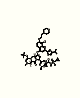 C=C[C@@H]1C[C@]1(NC(=O)[C@@H]1C[C@@H](Oc2cc(-c3nc(C(C)C)cs3)nc3c(Cl)c(OCCN4CCOCC4)ccc23)[C@H]2CN(C(=O)OC(C)(C)C)[C@H]([C@H](C)OC)C(=O)N21)C(=O)NS(=O)(=O)C1CC1